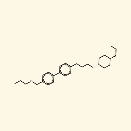 C/C=C\[C@H]1CC[C@H](CCCCc2ccc(-c3ccc(COCCC)cc3)cc2)CC1